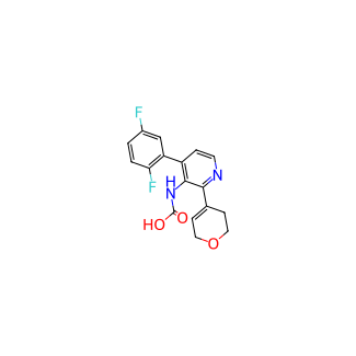 O=C(O)Nc1c(-c2cc(F)ccc2F)ccnc1C1=CCOCC1